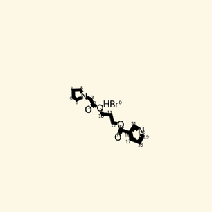 Br.O=C(CN1CCCC1)OCCCOC(=O)c1cccnc1